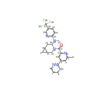 Cc1cc(-c2ncccn2)cc(C(=O)N2CC3CC3CC2N(C)c2ccc(C(F)(F)F)cn2)n1